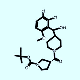 COc1ccc(Cl)c(Cl)c1C(O)C1CCN(C(=O)[C@@H]2CCN(C(=O)OC(C)(C)C)C2)CC1